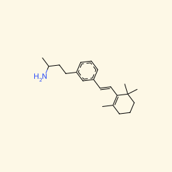 CC1=C(/C=C/c2cccc(CCC(C)N)c2)C(C)(C)CCC1